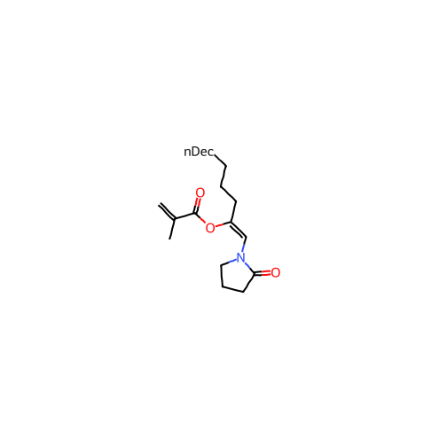 C=C(C)C(=O)OC(=CN1CCCC1=O)CCCCCCCCCCCCC